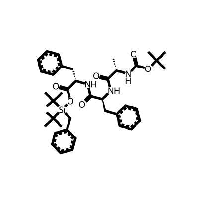 C[C@H](NC(=O)OC(C)(C)C)C(=O)N[C@@H](Cc1ccccc1)C(=O)N[C@@H](Cc1ccccc1)C(=O)O[Si](Cc1ccccc1)(C(C)(C)C)C(C)(C)C